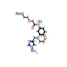 CCN(C(=O)COCCOC)c1ccc2c(c1)N(Cc1cn(N)cn1)CCO2